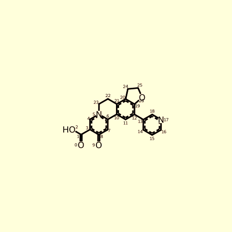 O=C(O)c1cn2c(cc1=O)-c1cc(-c3cccnc3)c3c(c1CC2)CCO3